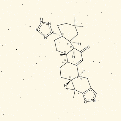 CC1(C)CC[C@]2(c3nn[nH]n3)CC[C@]3(C)[C@H](C(=O)C=C4[C@@]5(C)Cc6cnoc6C(C)(C)[C@@H]5CC[C@]43C)[C@@H]2C1